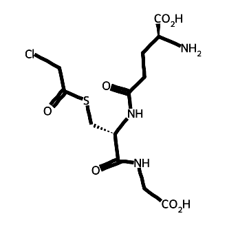 N[C@@H](CCC(=O)N[C@@H](CSC(=O)CCl)C(=O)NCC(=O)O)C(=O)O